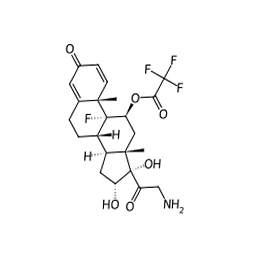 C[C@]12C=CC(=O)C=C1CC[C@H]1[C@@H]3C[C@@H](O)[C@](O)(C(=O)CN)[C@@]3(C)C[C@H](OC(=O)C(F)(F)F)[C@@]12F